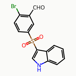 O=Cc1cc(S(=O)(=O)c2c[nH]c3ccccc23)ccc1Br